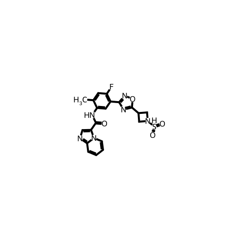 Cc1cc(F)c(-c2noc(C3CN([SH](=O)=O)C3)n2)cc1NC(=O)c1cnc2ccccn12